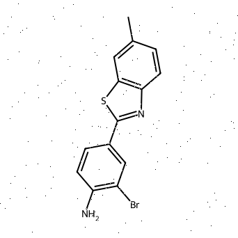 Cc1ccc2nc(-c3ccc(N)c(Br)c3)sc2c1